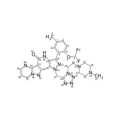 Cc1ccc(OC(F)F)c(-c2nn(Cc3nnnn3CCN3CCN(C)CC3)cc2NC(=O)c2cnn3cccnc23)c1